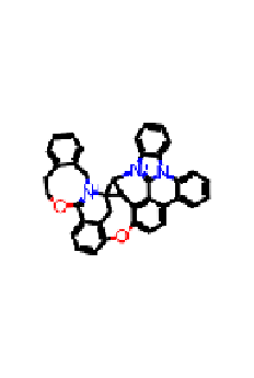 c1ccc2c(c1)CCOC1=[N+](C2)C23Cc4c(cccc41)Oc1ccc4c5ccccc5n5c6ccccc6[n+]6c5c4c1C2C63